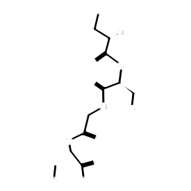 N[C@@H](CO)C(=O)N[C@@H](CO)C(=O)NCC(=O)N[C@@H](CO)C(=O)O